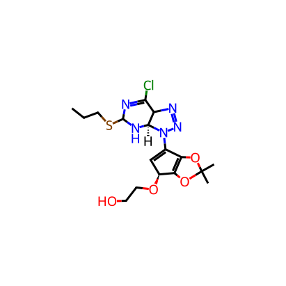 CCCSC1N=C(Cl)C2N=NN(C3=C[C@H](OCCO)C4=C3OC(C)(C)O4)[C@H]2N1